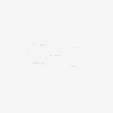 COC(OC)c1[c]ccnc1